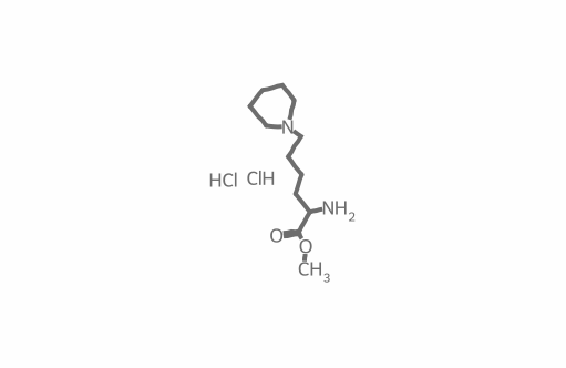 COC(=O)C(N)CCCCN1CCCCC1.Cl.Cl